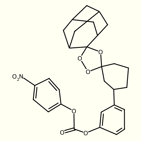 O=C(Oc1ccc([N+](=O)[O-])cc1)Oc1cccc(C2CCCC3(C2)OOC2(O3)C3CC4CC(C3)CC2C4)c1